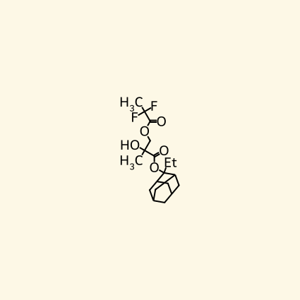 CCC1(OC(=O)C(C)(O)COC(=O)C(C)(F)F)C2CC3CC(C2)CC1C3